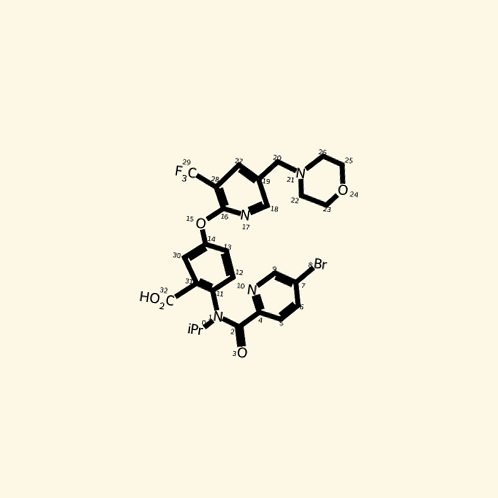 CC(C)N(C(=O)c1ccc(Br)cn1)c1ccc(Oc2ncc(CN3CCOCC3)cc2C(F)(F)F)cc1C(=O)O